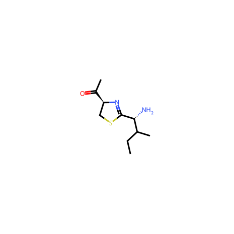 CCC(C)[C@@H](N)C1=N[C@H](C(C)=O)CS1